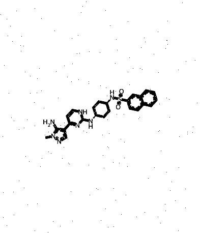 Cn1ncc(C2=NC(N[C@H]3CC[C@H](NS(=O)(=O)c4ccc5ccccc5c4)CC3)NC=C2)c1N